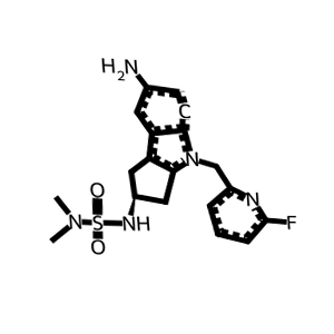 CN(C)S(=O)(=O)N[C@H]1Cc2c(n(Cc3cccc(F)n3)c3ccc(N)cc23)C1